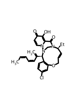 C=C(/C=C\C=C/C)[C@@H]1c2ccc(Cl)cc2OC/C=C/[C@H](CC)N2CN1n1ccc(=O)c(O)c1C2=O